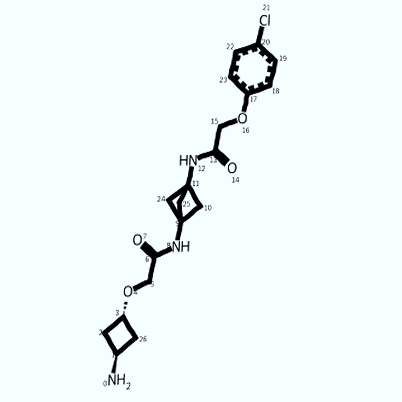 N[C@H]1C[C@H](OCC(=O)NC23CC(NC(=O)COc4ccc(Cl)cc4)(C2)C3)C1